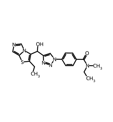 CCc1sc2cncn2c1C(O)c1cn(-c2ccc(C(=O)N(C)CC)cc2)nn1